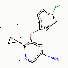 Nc1cnc(C2CC2)c(Sc2ccc(F)cc2)c1